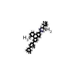 Cc1ccccc1-c1cc(-c2ccc(-c3cccnc3)nc2)ccc1-c1ccc(C(/C=C\Cc2cccnc2)=C/N)cc1